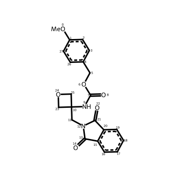 COc1ccc(COC(=O)NC2(CN3C(=O)c4ccccc4C3=O)COC2)cc1